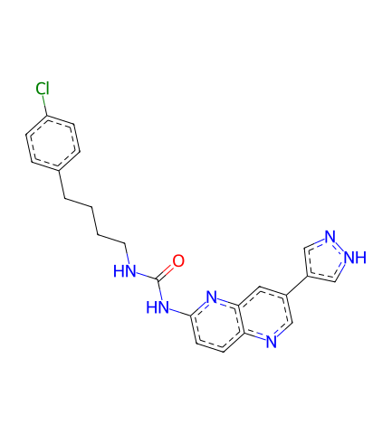 O=C(NCCCCc1ccc(Cl)cc1)Nc1ccc2ncc(-c3cn[nH]c3)cc2n1